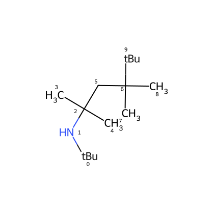 CC(C)(C)NC(C)(C)CC(C)(C)C(C)(C)C